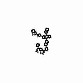 Cc1cc(-c2ccccc2)c2ccc3c(-c4cccc(-c5ccc6cc(-c7c8ccccc8c(-c8ccc9ccccc9c8)c8cc(-c9ccc(-c%10cnc%11ccccc%11c%10)nc9)ccc78)ccc6c5)c4)cc(C)nc3c2n1